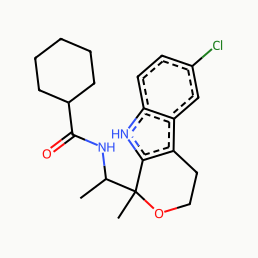 CC(NC(=O)C1CCCCC1)C1(C)OCCc2c1[nH]c1ccc(Cl)cc21